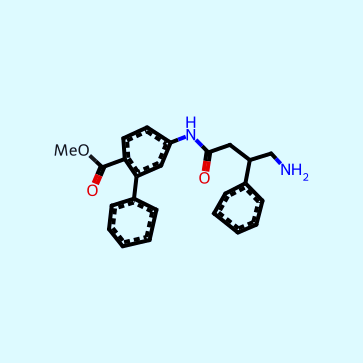 COC(=O)c1ccc(NC(=O)CC(CN)c2ccccc2)cc1-c1ccccc1